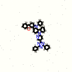 c1ccc(-c2nc(-c3ccccc3)nc(-c3ccc(-n4c5ccccc5c5c4ccc4c6c7oc8ccccc8c7ccc6n(-c6ccccc6)c45)nc3)n2)cc1